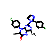 CCC1C(=O)Nc2c(C)nc(-n3ccnc3-c3ccc(F)cc3)nc2N1c1ccc(F)cc1